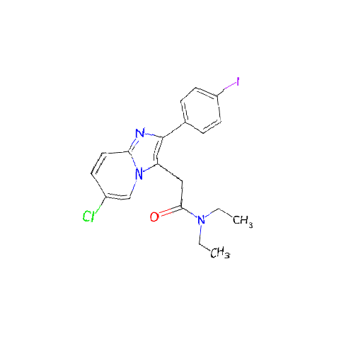 CCN(CC)C(=O)Cc1c(-c2ccc(I)cc2)nc2ccc(Cl)cn12